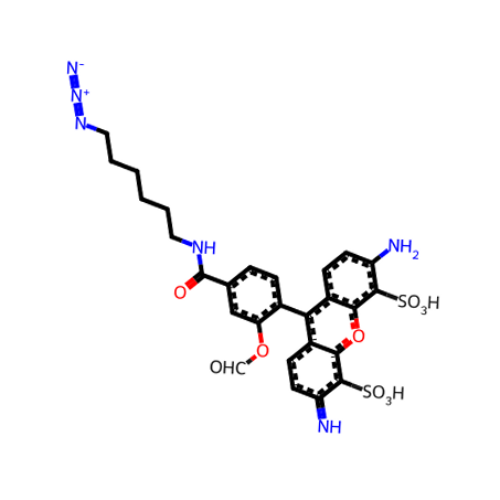 [N-]=[N+]=NCCCCCCNC(=O)c1ccc(-c2c3ccc(=N)c(S(=O)(=O)O)c-3oc3c(S(=O)(=O)O)c(N)ccc23)c(OC=O)c1